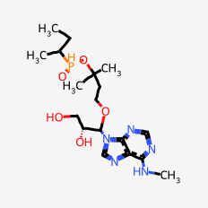 CCC(C)[PH](=O)OC(C)(C)CCOC([C@H](O)CO)n1cnc2c(NC)ncnc21